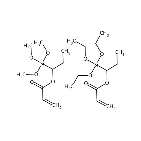 C=CC(=O)OC(CC)[Si](OC)(OC)OC.C=CC(=O)OC(CC)[Si](OCC)(OCC)OCC